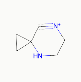 C1#[N+]CCNC12CC2